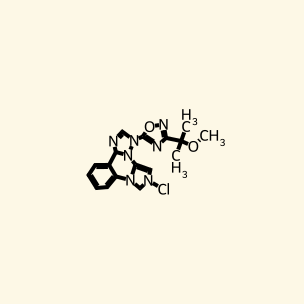 COC(C)(C)c1noc(N2C=NC3c4ccccc4N4CN(Cl)C=C4N32)n1